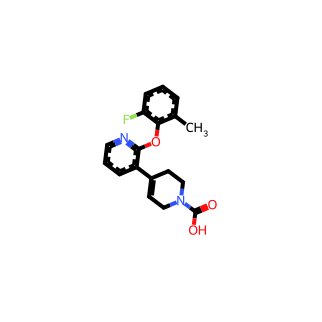 Cc1cccc(F)c1Oc1ncccc1C1=CCN(C(=O)O)CC1